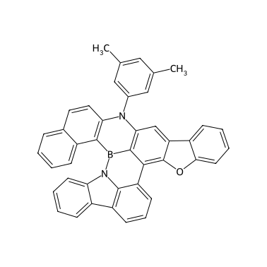 Cc1cc(C)cc(N2c3cc4c(oc5ccccc54)c4c3B(c3c2ccc2ccccc32)n2c3ccccc3c3cccc-4c32)c1